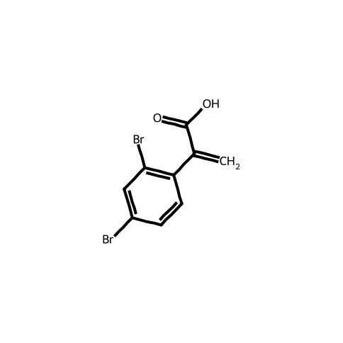 C=C(C(=O)O)c1ccc(Br)cc1Br